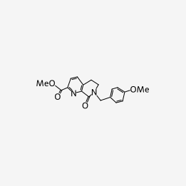 COC(=O)c1ccc2c(n1)C(=O)N(Cc1ccc(OC)cc1)CC2